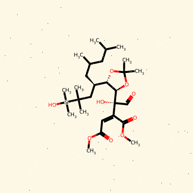 COC(=O)/C=C(\C(=O)OC)[C@](O)(C=O)[C@@H]1OC(C)(C)O[C@H]1[C@H](CC(C)CC(C)C)CC(C)(C)[Si](C)(C)O